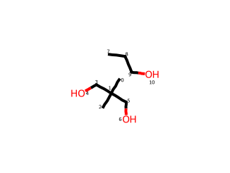 CC(C)(CO)CO.CCCO